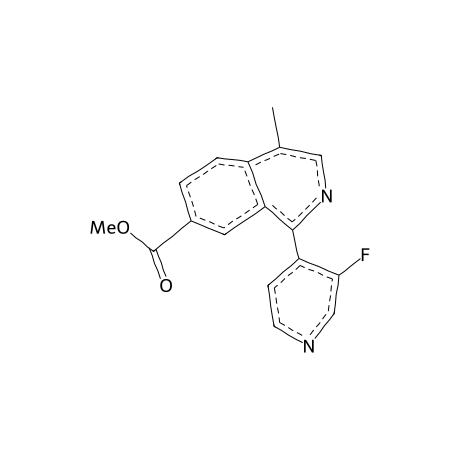 COC(=O)c1ccc2c(C)cnc(-c3ccncc3F)c2c1